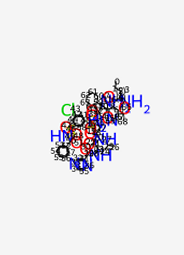 CC[C@H](C)[C@H](N)C(=O)C(C[C@@](N)(C(=O)C(=O)N(CC(=O)NC(=O)[C@H](CC(C)C)NC(=O)c1cnccn1)S(=O)(=O)c1cc(Cl)cc(S(=O)(=O)NC(=O)c2ccccc2)c1)C1CCCCC1)C(=O)[C@H](C)N